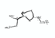 CCOC(=O)N[C@H]1CCN(C(O)OC(C)(C)C)C1